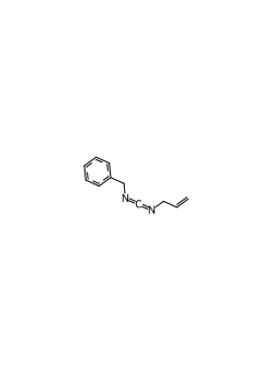 C=CCN=C=NCc1ccccc1